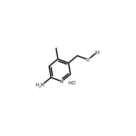 CCOCc1cnc(N)cc1C.Cl